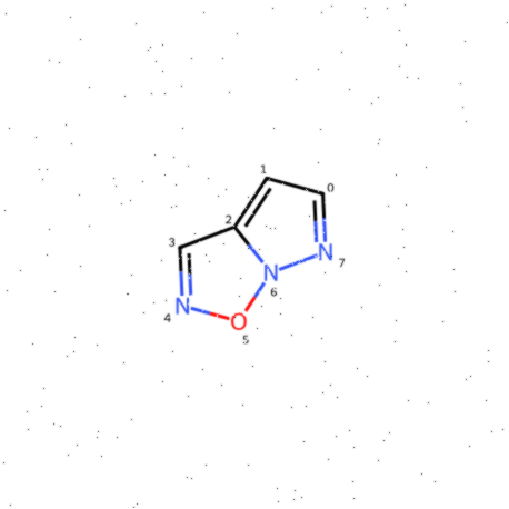 c1cc2cnon2n1